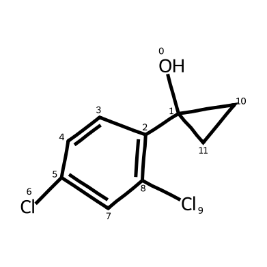 OC1(c2ccc(Cl)cc2Cl)CC1